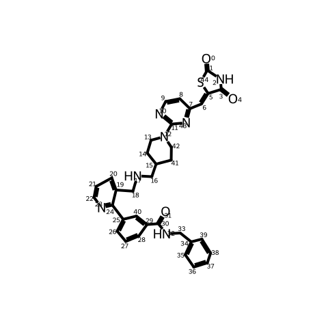 O=C1NC(=O)/C(=C/c2ccnc(N3CCC(CNCc4cccnc4-c4cccc(C(=O)NCc5ccccc5)c4)CC3)n2)S1